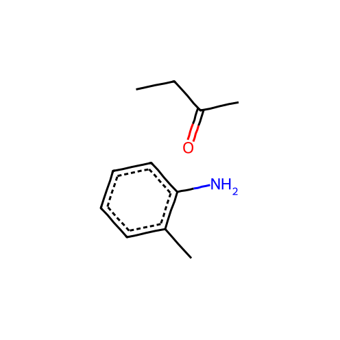 CCC(C)=O.Cc1ccccc1N